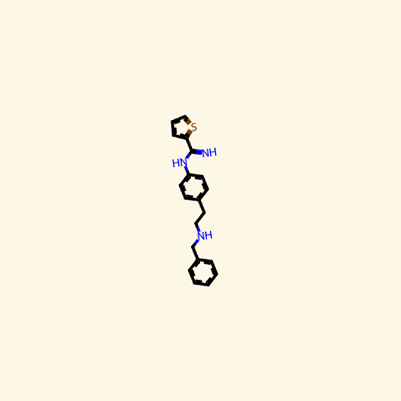 N=C(Nc1ccc(CCNCc2ccccc2)cc1)c1cccs1